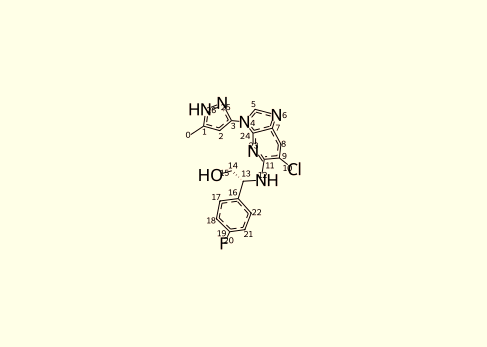 Cc1cc(-n2cnc3cc(Cl)c(N[C@@H](CO)c4ccc(F)cc4)nc32)n[nH]1